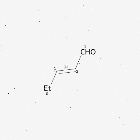 CC/[C]=C/C=O